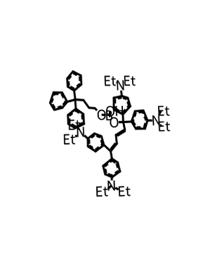 CCN(CC)c1ccc(C(=CC=CC(OB(O)OCCCC(c2ccccc2)(c2ccccc2)c2ccccc2)(c2ccc(N(CC)CC)cc2)c2ccc(N(CC)CC)cc2)c2ccc(N(CC)CC)cc2)cc1